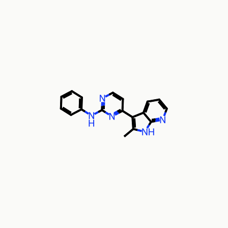 Cc1[nH]c2ncccc2c1-c1ccnc(Nc2ccccc2)n1